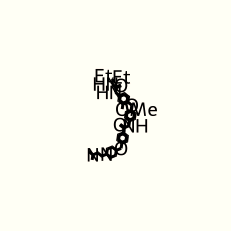 CCC(CC)NC(=O)Nc1ccc(Oc2ccc(NC(=O)c3ccc(OC4CCN(CCN(C)C)CC4)cc3)cc2)c(OC)c1